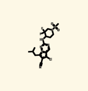 CC(C)Cc1c(C#N)c(Cl)c2cnc(NC3CCN(S(C)(=O)=O)CC3(F)F)nn12